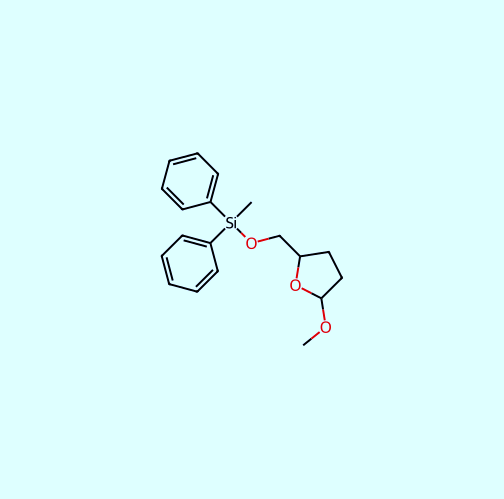 COC1CCC(CO[Si](C)(c2ccccc2)c2ccccc2)O1